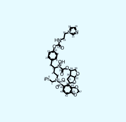 CC(C)CN(CCC(Cc1ccc(OC(=O)NCCn2ccnc2)cc1)N(O)C(=O)OC1COC2OCCC12)S(=O)(=O)c1ccc2c(c1)OCO2